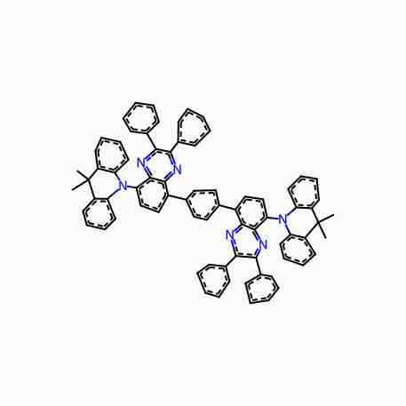 CC1(C)c2ccccc2N(c2ccc(-c3ccc(-c4ccc(N5c6ccccc6C(C)(C)c6ccccc65)c5nc(-c6ccccc6)c(-c6ccccc6)nc45)cc3)c3nc(-c4ccccc4)c(-c4ccccc4)nc23)c2ccccc21